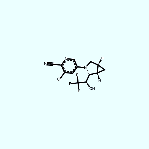 N#Cc1ncc(N2C[C@@H]3C[C@@H]3[C@@H]2[C@@H](O)C(F)(F)F)cc1Cl